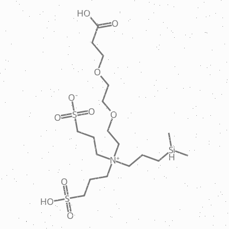 C[SiH](C)CCC[N+](CCCS(=O)(=O)[O-])(CCCS(=O)(=O)O)CCOCCOCCC(=O)O